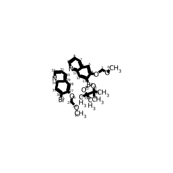 COCOc1cc2cccnc2cc1B1OC(C)(C)C(C)(C)O1.COCOc1cc2cccnc2cc1Br